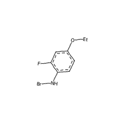 CCOc1ccc(NBr)c(F)c1